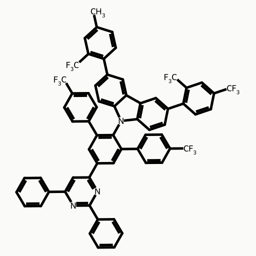 Cc1ccc(-c2ccc3c(c2)c2cc(-c4ccc(C(F)(F)F)cc4C(F)(F)F)ccc2n3-c2c(-c3ccc(C(F)(F)F)cc3)cc(-c3cc(-c4ccccc4)nc(-c4ccccc4)n3)cc2-c2ccc(C(F)(F)F)cc2)c(C(F)(F)F)c1